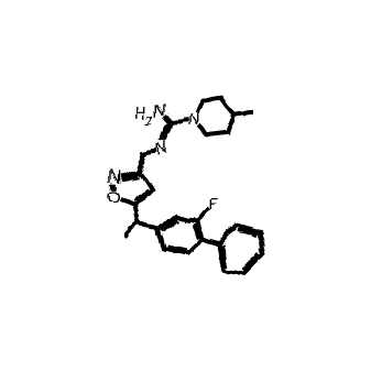 CC1CCN(C(N)=NCc2cc(C(C)c3ccc(-c4ccccc4)c(F)c3)on2)CC1